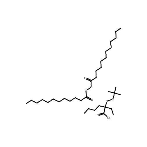 CCCCC(CC)(OOC(C)(C)C)C(=O)O.CCCCCCCCCCCC(=O)OOC(=O)CCCCCCCCCCC